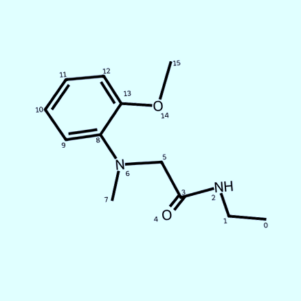 CCNC(=O)CN(C)c1ccccc1OC